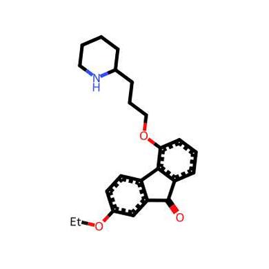 CCOc1ccc2c(c1)C(=O)c1cccc(OCCCC3CCCCN3)c1-2